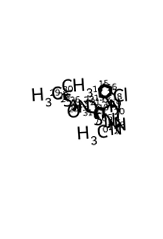 Cc1nnc2n1-c1sc3c(c1C(c1ccccc1Cl)=NC2)CCN(C(=O)CSC(C)C)C3